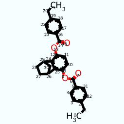 CCc1ccc(C(=O)Oc2ccc(OC(=O)c3ccc(CC)cc3)c3c2C2CCC3C2)cc1